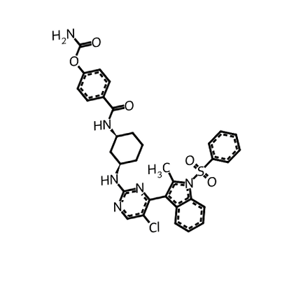 Cc1c(-c2nc(N[C@@H]3CCC[C@H](NC(=O)c4ccc(OC(N)=O)cc4)C3)ncc2Cl)c2ccccc2n1S(=O)(=O)c1ccccc1